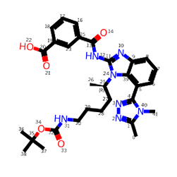 Cc1nnc(-c2cccc3nc(NC(=O)c4cccc(C(=O)O)c4)n([C@H](C)CCCCNC(=O)OC(C)(C)C)c23)n1C